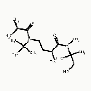 CC(C)C(=O)N(CCC(C)C(=O)N(C)C(C)(C)CO)C(C)(C)C